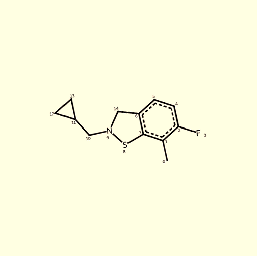 Cc1c(F)ccc2c1SN(CC1CC1)C2